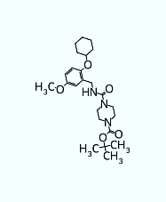 COc1ccc(OC2CCCCC2)c(CNC(=O)N2CCN(C(=O)OC(C)(C)C)CC2)c1